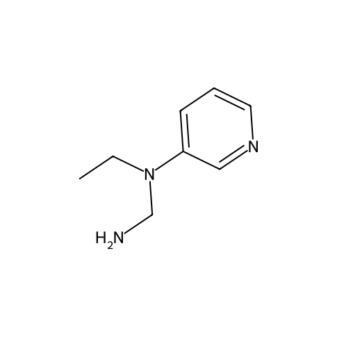 CCN(CN)c1cccnc1